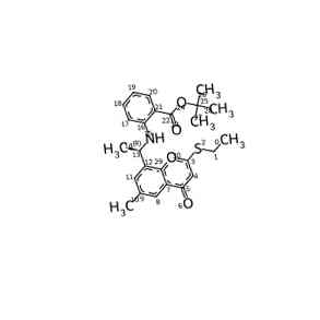 CCSc1cc(=O)c2cc(C)cc([C@@H](C)Nc3ccccc3C(=O)OC(C)(C)C)c2o1